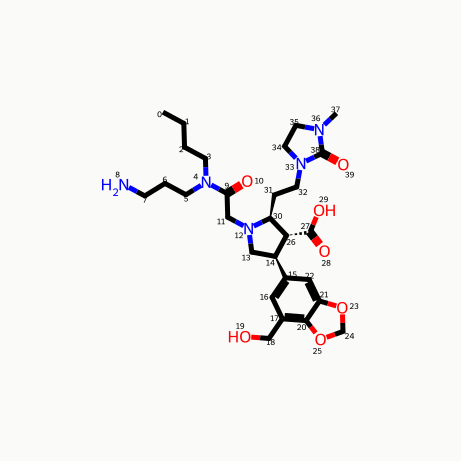 CCCCN(CCCN)C(=O)CN1C[C@H](c2cc(CO)c3c(c2)OCO3)[C@@H](C(=O)O)[C@@H]1CCN1CCN(C)C1=O